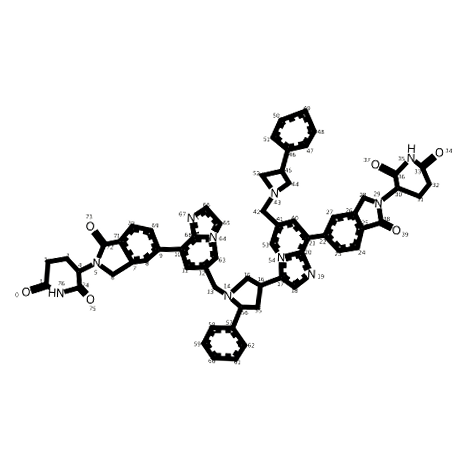 O=C1CCC(N2Cc3cc(-c4cc(CN5CC(c6cnc7c(-c8ccc9c(c8)CN(C8CCC(=O)NC8=O)C9=O)cc(CN8CC(c9ccccc9)C8)cn67)CC5c5ccccc5)cn5ccnc45)ccc3C2=O)C(=O)N1